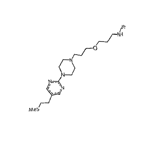 CSCCc1cnc(N2CCN(CCCOCCCNC(C)C)CC2)nc1